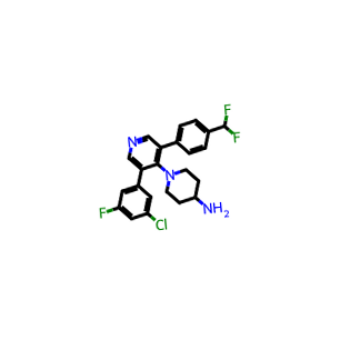 NC1CCN(c2c(-c3ccc(C(F)F)cc3)cncc2-c2cc(F)cc(Cl)c2)CC1